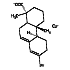 CC(C)C1=CC2=CCC3[C@](C)(C(=O)[O-])CCC[C@]3(C)[C@H]2CC1.[Cu+]